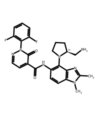 Cc1nc2c(N3CCC[C@H]3CN)c(NC(=O)c3ccnn(-c4c(F)cccc4F)c3=O)ccc2n1C